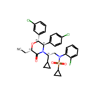 N#CC[C@@H]1O[C@H](c2cccc(Cl)c2)[C@@H](c2ccc(Cl)cc2)N([C@H](CN(c2ccccc2F)S(=O)(=O)C2CC2)C2CC2)C1=O